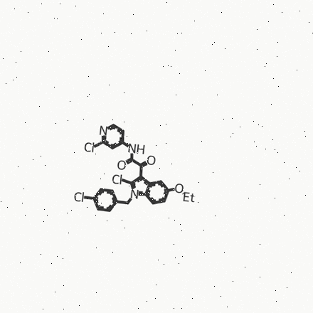 CCOc1ccc2c(c1)c(C(=O)C(=O)Nc1ccnc(Cl)c1)c(Cl)n2Cc1ccc(Cl)cc1